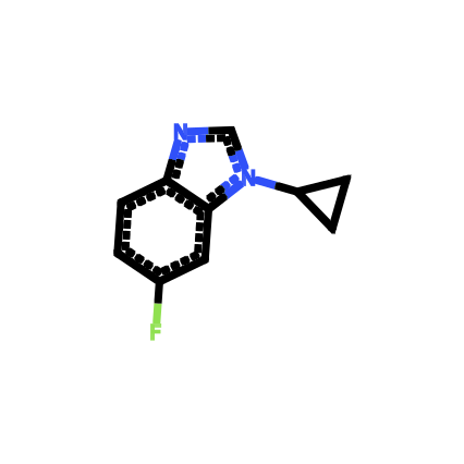 Fc1ccc2ncn(C3CC3)c2c1